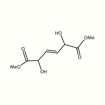 COC(=O)C(O)C=CC(O)C(=O)OC